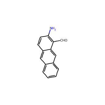 Nc1ccc2cc3ccccc3cc2c1C=O